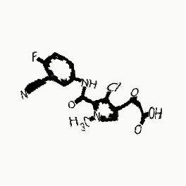 Cn1cc(C(=O)C(=O)O)c(Cl)c1C(=O)Nc1ccc(F)c(C#N)c1